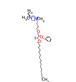 CCCCCCCCCCCCCCCCOC(I)C(COCCCC[N+]1(C)CC[N+](C)(C)CC1)OCc1ccccc1